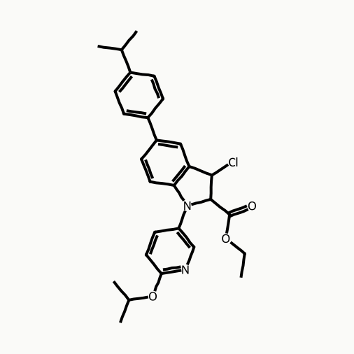 CCOC(=O)C1C(Cl)c2cc(-c3ccc(C(C)C)cc3)ccc2N1c1ccc(OC(C)C)nc1